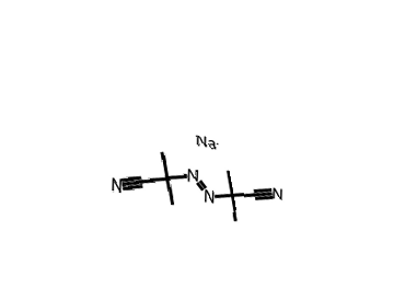 CC(C)(C#N)N=NC(C)(C)C#N.[Na]